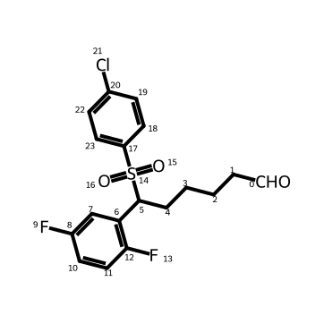 O=CCCCCC(c1cc(F)ccc1F)S(=O)(=O)c1ccc(Cl)cc1